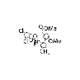 CCN(Cc1cc(C)ccc1-c1cc(CC(=O)OC)ccc1OC)C(=O)OCc1cc(Cl)cc(Cl)c1